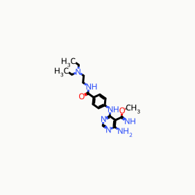 CCN(CC)CCNC(=O)c1ccc(Nc2ncnc(N)c2C(=N)OC)cc1